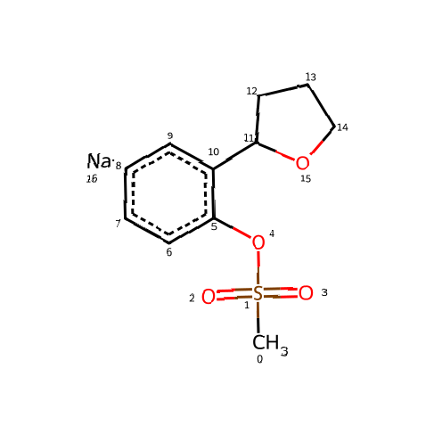 CS(=O)(=O)Oc1ccccc1C1CCCO1.[Na]